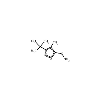 Cc1c(C(C)(C)O)csc1SN